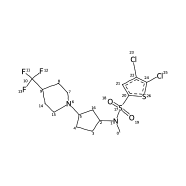 CN(C1CCC(N2CCC(C(F)(F)F)CC2)C1)S(=O)(=O)c1cc(Cl)c(Cl)s1